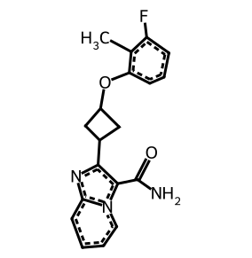 Cc1c(F)cccc1OC1CC(c2nc3ccccn3c2C(N)=O)C1